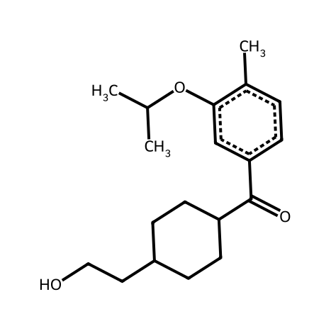 Cc1ccc(C(=O)C2CCC(CCO)CC2)cc1OC(C)C